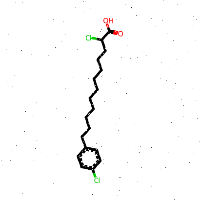 O=C(O)C(Cl)CCCCCCCCCCc1ccc(Cl)cc1